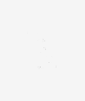 COc1cc(C(=O)Nc2nc3ccc(Cl)cc3s2)ccc1C